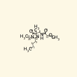 CCCCC1=NC(C)(CNC(=O)COC)C(=O)N1CC